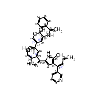 C=C/C=C(/c1cccnc1)c1cc(-c2n[nH]c(=C/C)/c2=C\C(=C)C(/C=C(\C=C)NC(=C)c2ccccc2)=C/C)[nH]c1C